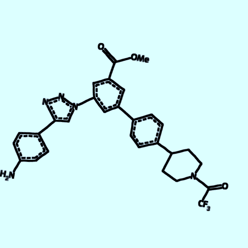 COC(=O)c1cc(-c2ccc(C3CCN(C(=O)C(F)(F)F)CC3)cc2)cc(-n2cc(-c3ccc(N)cc3)nn2)c1